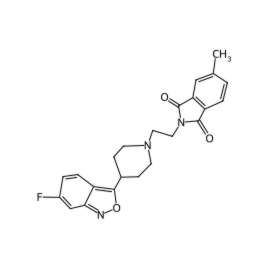 Cc1ccc2c(c1)C(=O)N(CCN1CCC(c3onc4cc(F)ccc34)CC1)C2=O